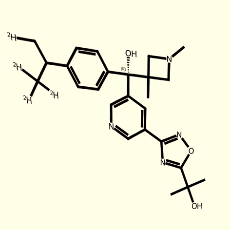 [2H]CC(c1ccc([C@](O)(c2cncc(-c3noc(C(C)(C)O)n3)c2)C2(C)CN(C)C2)cc1)C([2H])([2H])[2H]